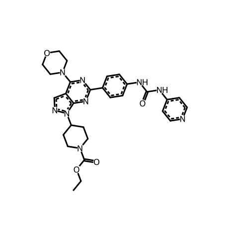 CCOC(=O)N1CCC(n2ncc3c(N4CCOCC4)nc(-c4ccc(NC(=O)Nc5ccncc5)cc4)nc32)CC1